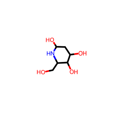 OCC1NC(O)CC(O)C1O